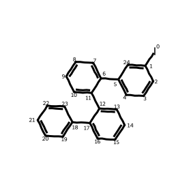 Ic1cccc(-c2ccccc2-c2ccccc2-c2ccccc2)c1